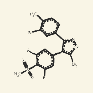 Cc1ccc(-c2noc(C)c2-c2cc(F)c(S(C)(=O)=O)c(F)c2)cc1Br